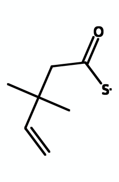 C=CC(C)(C)CC(=O)[S]